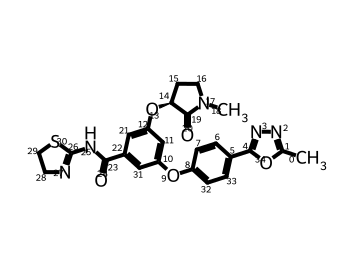 Cc1nnc(-c2ccc(Oc3cc(O[C@H]4CCN(C)C4=O)cc(C(=O)NC4=NCCS4)c3)cc2)o1